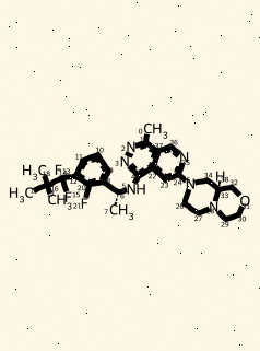 Cc1nnc(N[C@H](C)c2cccc(C(F)(F)C(C)(C)C)c2F)c2cc(N3CCN4CCOC[C@@H]4C3)ncc12